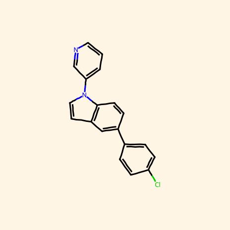 Clc1ccc(-c2ccc3c(ccn3-c3cccnc3)c2)cc1